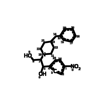 O=[N+]([O-])c1ccc(C(O)C(CO)N2CCC(Cc3ccccc3)CC2)cc1